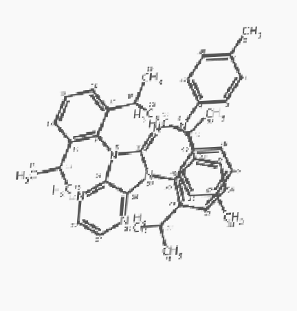 Cc1ccc(N(N=c2n(-c3c(C(C)C)cccc3C(C)C)c3nccnc3n2-c2c(C(C)C)cccc2C(C)C)c2ccc(C)cc2)cc1